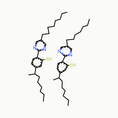 CCCCCCCCc1cnc(-c2ccc(C(C)CCCCCC)cc2S)nc1.CCCCCCCc1cnc(-c2ccc(C(C)CCCCCC)cc2S)nc1